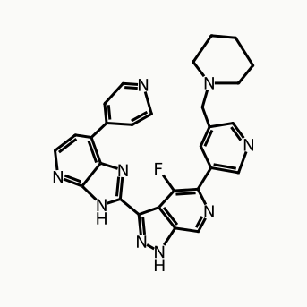 Fc1c(-c2cncc(CN3CCCCC3)c2)ncc2[nH]nc(-c3nc4c(-c5ccncc5)ccnc4[nH]3)c12